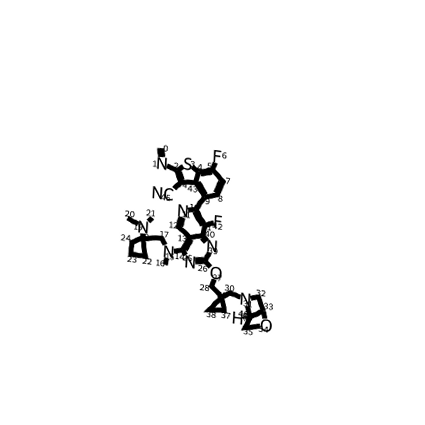 C=Nc1sc2c(F)ccc(-c3ncc4c(N(C)CC5(N(C)C)CCC5)nc(OCC5(CN6CC7OC[C@H]76)CC5)nc4c3F)c2c1C#N